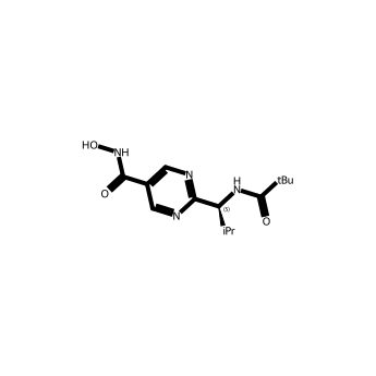 CC(C)[C@H](NC(=O)C(C)(C)C)c1ncc(C(=O)NO)cn1